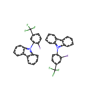 FC(F)(F)c1ccc(-n2c3ccccc3c3ccccc32)c(I)c1.FC(F)(F)c1ccc(I)c(-n2c3ccccc3c3ccccc32)c1